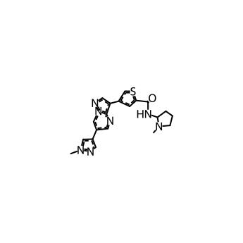 CN1CCCC1NC(=O)c1cc(-c2cnn3cc(-c4cnn(C)c4)cnc23)cs1